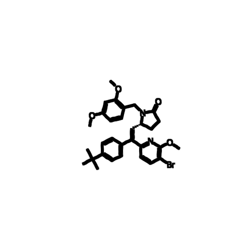 COc1ccc(CN2C(=O)CC[C@@H]2C=C(c2ccc(C(C)(C)C)cc2)c2ccc(Br)c(OC)n2)c(OC)c1